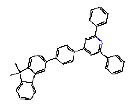 CC1(C)c2ccccc2-c2cc(-c3ccc(-c4cc(-c5ccccc5)nc(-c5ccccc5)c4)cc3)ccc21